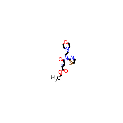 CCOC(=O)/C=C/C(=O)N(CCN1CCOCC1)c1nccs1